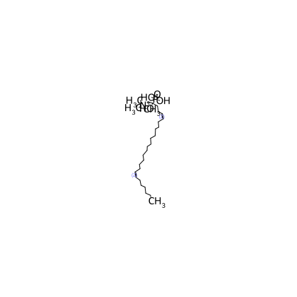 CCCCCC/C=C\CCCCCCCCCCCC/C=C\CCC(O)(C[N+](C)(C)C)P(=O)(O)O